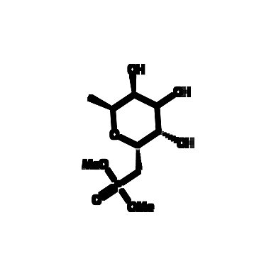 COP(=O)(C[C@@H]1O[C@@H](C)[C@@H](O)C(O)[C@@H]1O)OC